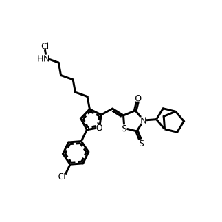 O=C1/C(=C/c2oc(-c3ccc(Cl)cc3)cc2CCCCCNCl)SC(=S)N1C1CC2CCC1C2